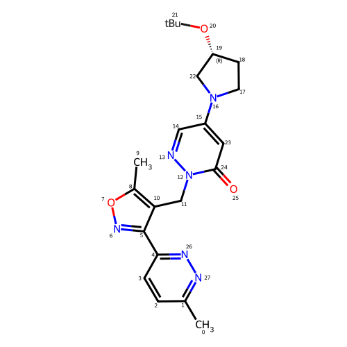 Cc1ccc(-c2noc(C)c2Cn2ncc(N3CC[C@@H](OC(C)(C)C)C3)cc2=O)nn1